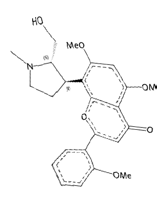 COc1ccccc1-c1cc(=O)c2c(OC)cc(OC)c([C@H]3CCN(C)[C@@H]3CO)c2o1